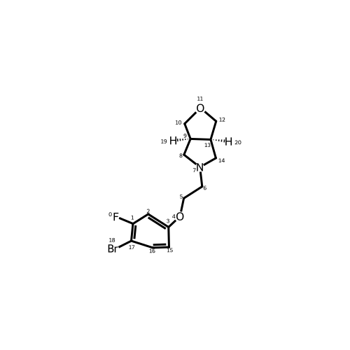 Fc1cc(OCCN2C[C@H]3COC[C@H]3C2)ccc1Br